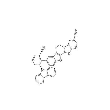 N#Cc1ccc2oc3c(c2c1)CCc1c-3oc2ccc(-c3c(C#N)cccc3-n3c4ccccc4c4ccccc43)cc12